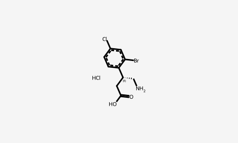 Cl.NC[C@H](CC(=O)O)c1ccc(Cl)cc1Br